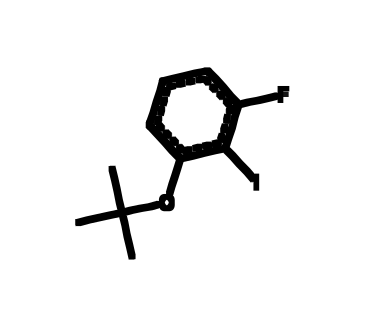 CC(C)(C)Oc1cccc(F)c1I